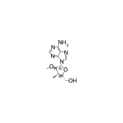 CO[C@@H]1[C@H](C)[C@@H](CO)O[C@H]1n1cnc2c(N)ncnc21